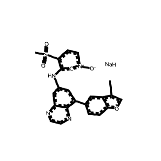 Cc1coc2ccc(-c3cc(Nc4c[n+]([O-])ccc4S(C)(=O)=O)cc4nccnc34)cc12.[NaH]